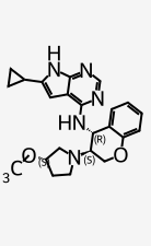 CO[C@H]1CCN([C@@H]2COc3ccccc3[C@H]2Nc2ncnc3[nH]c(C4CC4)cc23)C1